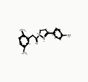 Cc1ccc(C)c(CC(=O)N2CCC(c3ccc(O)cc3)=N2)c1